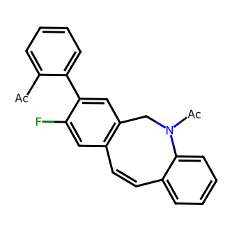 CC(=O)c1ccccc1-c1cc2c(cc1F)C=Cc1ccccc1N(C(C)=O)C2